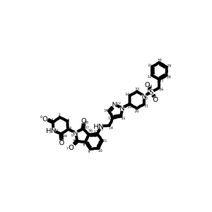 O=C1CCC(N2C(=O)c3cccc(NCc4cnn(C5CCN(S(=O)(=O)Cc6ccccc6)CC5)c4)c3C2=O)C(=O)N1